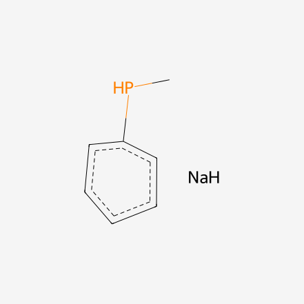 CPc1ccccc1.[NaH]